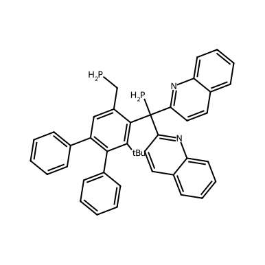 CC(C)(C)c1c(-c2ccccc2)c(-c2ccccc2)cc(CP)c1C(P)(c1ccc2ccccc2n1)c1ccc2ccccc2n1